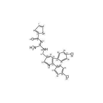 N/C(=N\C(=O)c1cccs1)NCc1cnc(-c2ccc(Cl)cc2)c(-c2ccc(Cl)cc2)c1